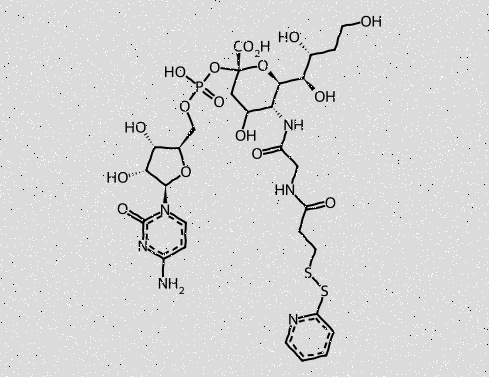 Nc1ccn([C@@H]2O[C@H](COP(=O)(O)O[C@@]3(C(=O)O)CC(O)[C@@H](NC(=O)CNC(=O)CCSSc4ccccn4)[C@H]([C@H](O)[C@H](O)CCO)O3)[C@@H](O)[C@H]2O)c(=O)n1